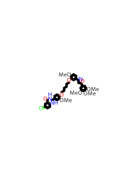 COc1cc(C2NC(=O)c3cc(Cl)ccc3N2)ccc1OCCCCCCOc1cc(C2=NOC(c3cc(OC)c(OC)c(OC)c3)C2)ccc1OC